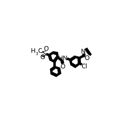 CS(=O)(=O)c1ccc(C(=O)Nc2ccc(Cl)c(-c3ncco3)c2)c(-c2ccccc2)c1